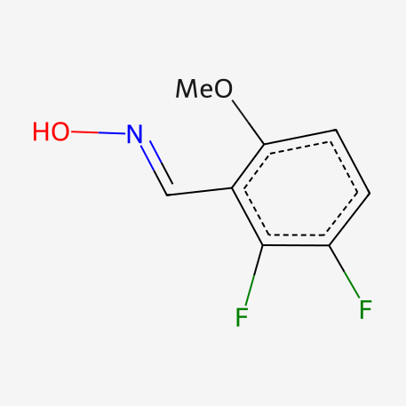 COc1ccc(F)c(F)c1C=NO